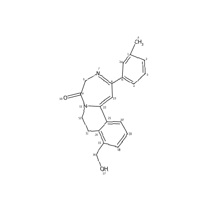 Cc1cccc(C2=NCC(=O)N3CCc4c(CO)cccc4C3=C2)c1